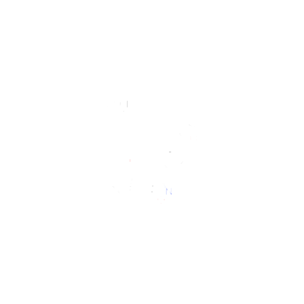 Cc1onc(-c2ccc(-c3ccco3)cc2)c1Cc1ccccc1OCCCCCC(=O)O